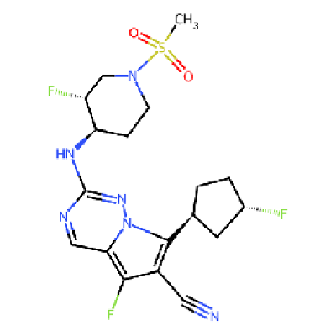 CS(=O)(=O)N1CC[C@@H](Nc2ncc3c(F)c(C#N)c([C@H]4CC[C@H](F)C4)n3n2)[C@H](F)C1